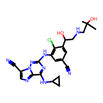 CC(C)(O)CNCC(O)c1cc(C#N)cc(Nc2nc(NC3CC3)c3ncc(C#N)n3n2)c1Cl